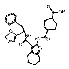 O=C(NC(Cc1ccccc1)C1=COCO1)c1c(NC(=O)C2CCC(C(=O)O)CC2)sc2c1CCCC2